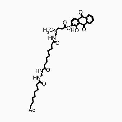 CC(=O)CCCCCCCC(=O)NCNC(=O)CCCCCCCC(=O)NCN(C)CCC(=O)Oc1ccc2c(c1O)C(=O)c1ccccc1C2=O